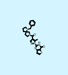 Cc1c(C(=O)N2CCC3(CCCN3Cc3ccccc3)C2)cnn1-c1nc2ccsc2c(=O)[nH]1